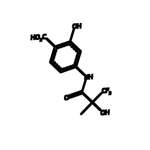 CC(O)(C(=O)Nc1ccc(C(=O)O)c(O)c1)C(F)(F)F